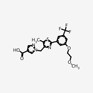 COCCOc1cc(-c2nc(Cn3cc(C(=O)O)cn3)c(C)s2)cc(C(F)(F)F)c1